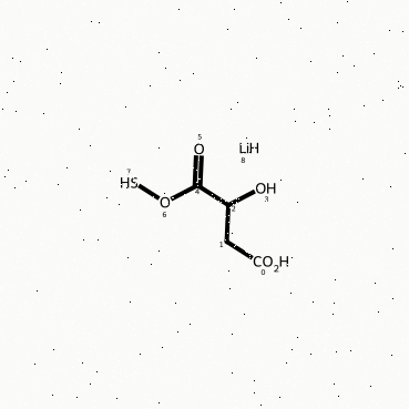 O=C(O)CC(O)C(=O)OS.[LiH]